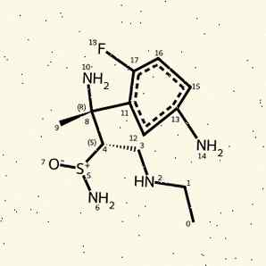 CCNC[C@H]([S+](N)[O-])[C@](C)(N)c1cc(N)ccc1F